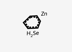 [SeH2].[Zn].c1ccccc1